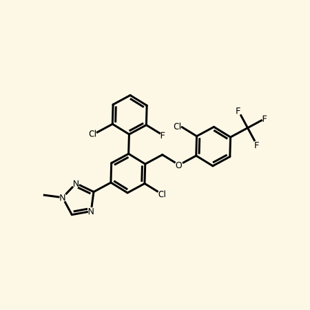 Cn1cnc(-c2cc(Cl)c(COc3ccc(C(F)(F)F)cc3Cl)c(-c3c(F)cccc3Cl)c2)n1